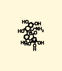 NCCS1(OC(=O)c2cc(O)c(O)c(O)c2)c2cc(O)cc(O)c2C[C@@H](O)[C@@H]1c1ccc(O)c(O)c1